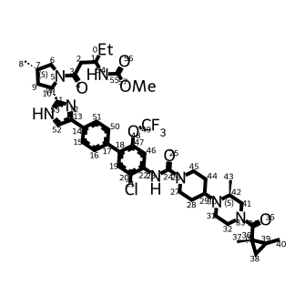 CCC(CC(=O)N1C[C@@H](C)C[C@H]1c1nc(-c2ccc(-c3cc(Cl)c(NC(=O)N4CCC(N5CCN(C(=O)[C@@]6(C)CC6C)C[C@@H]5C)CC4)cc3OC(F)(F)F)cc2)c[nH]1)NC(=O)OC